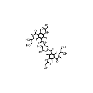 Cc1c(NC(=O)CO)c(I)c(C(=O)N(C)CC(O)CO)c(I)c1C(=O)N(CCNC(=O)c1c(I)c(NC(=O)CO)c(I)c(C(=O)N(C)CC(O)CO)c1I)CC(O)CO